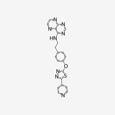 c1cc(-c2nnc(Oc3ccc(CCNc4ncnc5nccnc45)cc3)s2)ccn1